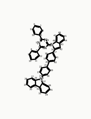 c1ccc(-c2nc(-c3ccccc3)nc(-n3c(-c4ccc(-c5ccc(-n6c7ccccc7c7ccccc76)cc5)cc4)cc4ccccc43)n2)cc1